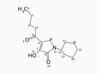 CCCCC(=O)C1=C(O)C(=O)N(C2CCCCC2)C1